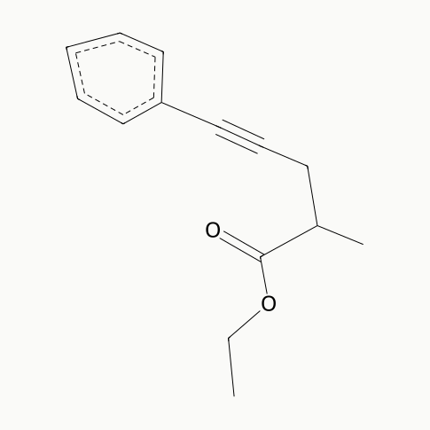 CCOC(=O)C(C)CC#Cc1ccccc1